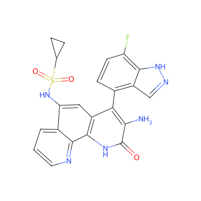 Nc1c(-c2ccc(F)c3[nH]ncc23)c2cc(NS(=O)(=O)C3CC3)c3cccnc3c2[nH]c1=O